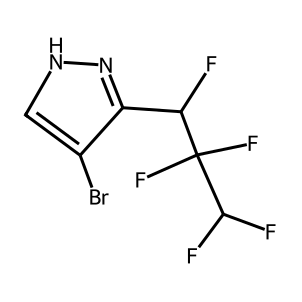 FC(F)C(F)(F)C(F)c1n[nH]cc1Br